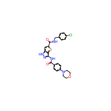 O=C(Nc1n[nH]c2cc(C(=O)NCc3ccc(Cl)cc3)sc12)c1ccc(N2CCOCC2)cc1